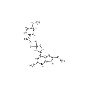 Cc1nc(N2CCC3(CC(Nc4ccc(CC#N)cc4)C3)C2)c2cc(CC(F)(F)F)sc2n1